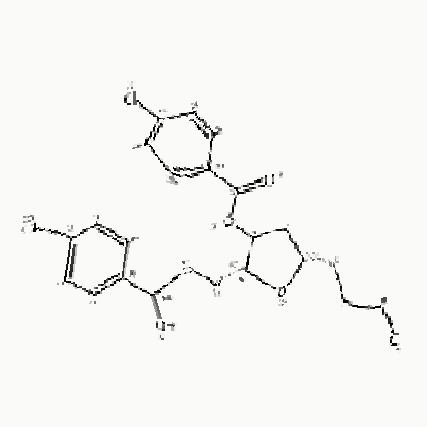 O=C(OC1C[C@H](CCCCl)O[C@@H]1COC(O)c1ccc(Cl)cc1)c1ccc(Cl)cc1